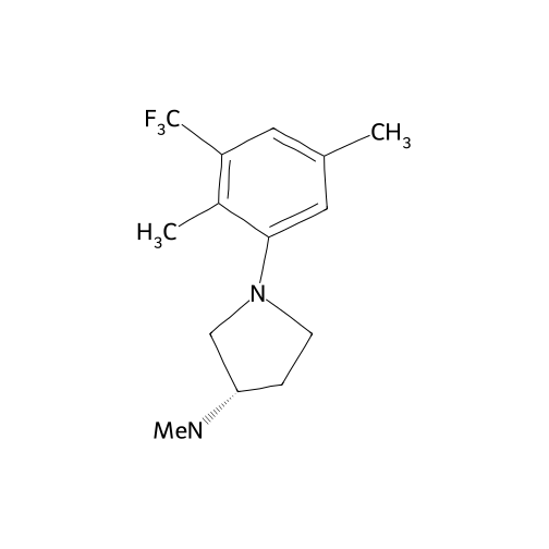 CN[C@H]1CCN(c2cc(C)cc(C(F)(F)F)c2C)C1